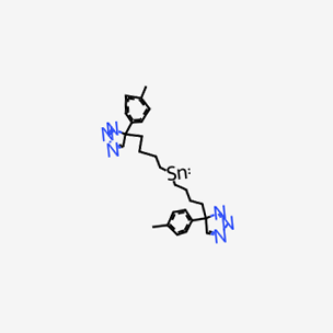 Cc1ccc(C2(CCC[CH2][Sn][CH2]CCCC3(c4ccc(C)cc4)C=NN=N3)C=NN=N2)cc1